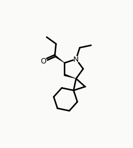 CCC(=O)[C@@H]1C[C@@]2(CN1CC)CC21CCCCC1